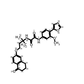 COc1cc(NC(=O)C(=O)NC(C)(C)CCOc2ccc3c(c2)CCCC3=O)ccc1-c1cnco1